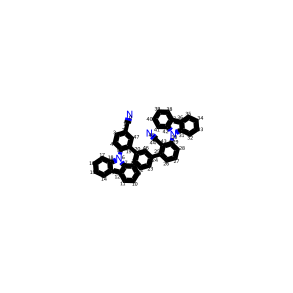 N#Cc1ccc(-n2c3ccccc3c3ccccc32)c(-c2cccc(-c3cccc(-n4c5ccccc5c5ccccc54)c3C#N)c2)c1